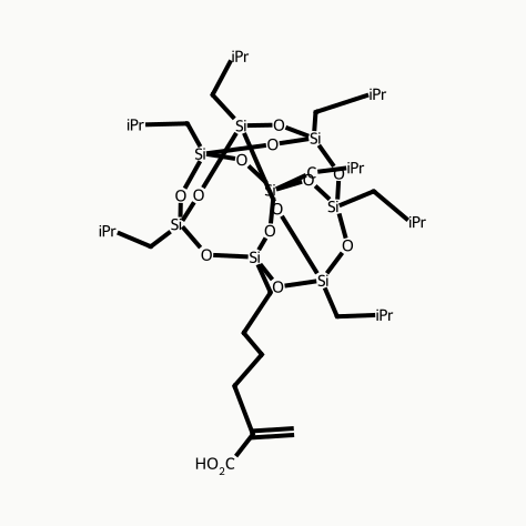 C=C(CCCC[Si]12O[Si]3(CC(C)C)O[Si]4(CC(C)C)O[Si](CC(C)C)(O1)O[Si]1(CC(C)C)O[Si](CC(C)C)(O2)O[Si](CC(C)C)(O3)O[Si](CC(C)C)(O4)O1)C(=O)O